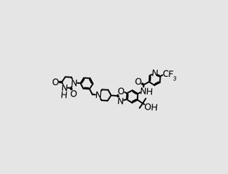 CC(C)(O)c1cc2nc(C3CCN(Cc4cccc(N5CCC(=O)NC5=O)c4)CC3)oc2cc1NC(=O)c1ccc(C(F)(F)F)nc1